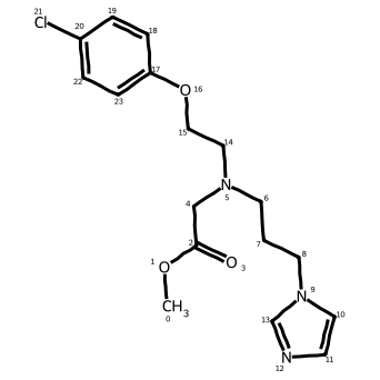 COC(=O)CN(CCCn1ccnc1)CCOc1ccc(Cl)cc1